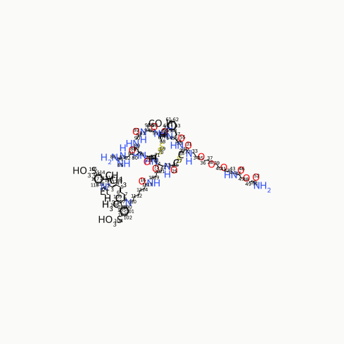 CC[N+]1=C(/C=C/C=C/C=C2/N(CCCCCC(=O)NCCCC[C@@H]3NC(=O)CSC[C@@H](C(=O)NCCOCCOCCOCCNC(=O)COCC(N)=O)NC(=O)[C@H](Cc4ccccc4)NC(=O)[C@@H]4CSSC[C@H](NC3=O)C(=O)N[C@@H](CCCNC(=N)N)C(=O)NCC(=O)N[C@@H](CC(=O)O)C(=O)N4)c3ccc(S(=O)(=O)O)cc3C2(C)C)C(C)(C)c2cc(S(=O)(=O)O)ccc21